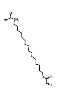 C=CC(=O)OCCCCCCCCCCCCCCCC[SiH2]C(Br)Br